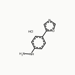 Cl.NNc1ccc(-c2cnco2)cc1